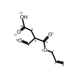 C=CCOC(=O)C(C=O)CC(=O)O